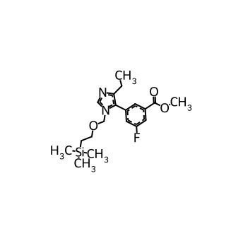 CCc1ncn(COCC[Si](C)(C)C)c1-c1cc(F)cc(C(=O)OC)c1